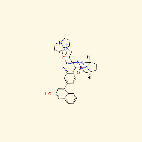 O=C(NCC1CCNC1)N1[C@@H]2CC[C@H]1CN(c1nc(OCC34CCCN3CCC4)nc3cc(-c4cc(O)cc5ccccc45)ccc13)C2